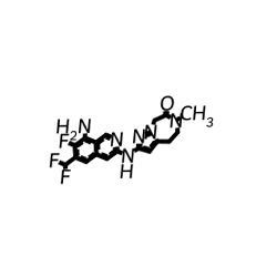 CN1CCc2cc(Nc3cc4cc(C(F)F)c(F)c(N)c4cn3)nn2CC1=O